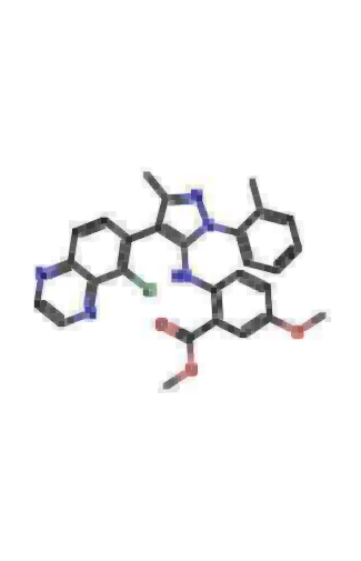 COC(=O)c1cc(OC)ccc1Nc1c(-c2ccc3nccnc3c2Cl)c(C)nn1-c1ccccc1C